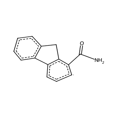 NC(=O)c1[c]ccc2c1Cc1ccccc1-2